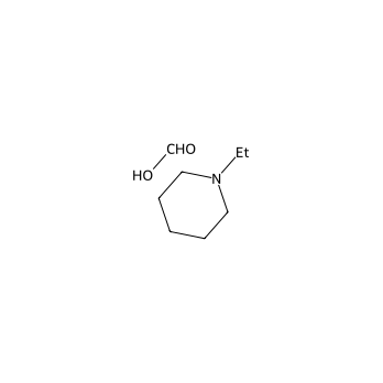 CCN1CCCCC1.O=CO